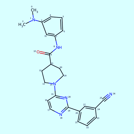 CN(C)c1cccc(NC(=O)C2CCN(c3ccnc(-c4cccc(C#N)c4)n3)CC2)c1